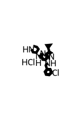 Cl.Clc1cccc(CNc2cc(N[C@H]3CCCNC3)nc3c(C4CC4)cnn23)c1